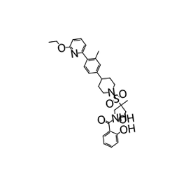 CCOc1cccc(-c2ccc(C3CCN(S(=O)(=O)C(C)(CO)CNC(=O)c4ccccc4O)CC3)cc2C)n1